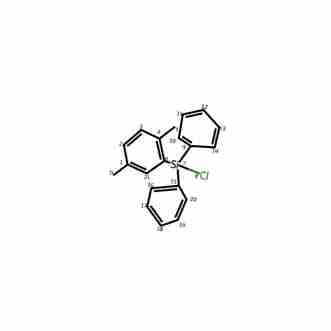 Cc1ccc(C)c([Si](Cl)(c2ccccc2)c2ccccc2)c1